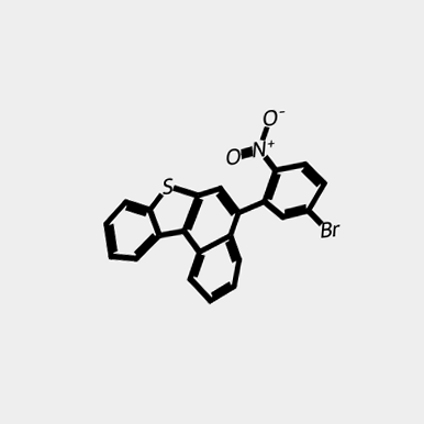 O=[N+]([O-])c1ccc(Br)cc1-c1cc2sc3ccccc3c2c2ccccc12